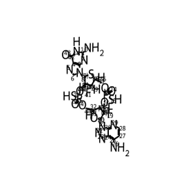 Nc1nc2c(ncn2[C@@H]2S[C@@H]3COP(=O)(S)O[C@H]4[C@H](F)[C@H](n5nnc6c(N)ccnc65)O[C@@H]4COP(=O)(S)O[C@@H]2[C@@H]3F)c(=O)[nH]1